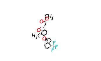 COC(=O)CC1COc2c1ccc(O[C@@H]1CCc3c1cccc3C(F)(F)F)c2C